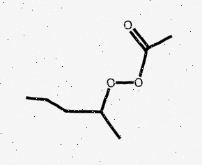 CCCC(C)OOC(C)=O